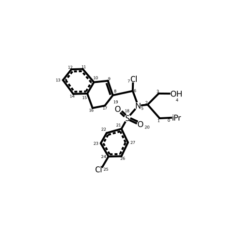 CC(C)CC(CO)N(C(Cl)C1=Cc2ccccc2CC1)S(=O)(=O)c1ccc(Cl)cc1